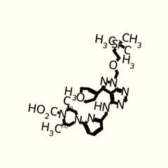 C[C@@H]1CN(c2cccc(CNc3ncnc4c3c(C3=CCOCC3)nn4COCC[Si](C)(C)C)n2)C[C@H](C)N1C(=O)O